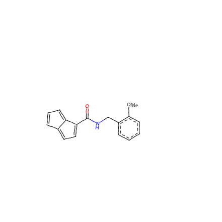 COc1ccccc1CNC(=O)C1=CC=C2C=CC=C21